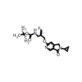 CC(C)(C)OC(=O)NC/C(=C\F)COc1cc2c(cn1)C(=O)N(C1CC1)C2